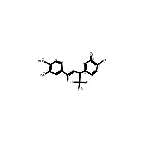 CC(F)(F)C(/C=C(\F)c1ccc(C(=O)O)c(C(F)(F)F)c1)c1ccc(Cl)c(Cl)c1